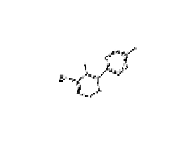 CC1=C(c2ccc(C)cc2)[CH]CC=C1Br